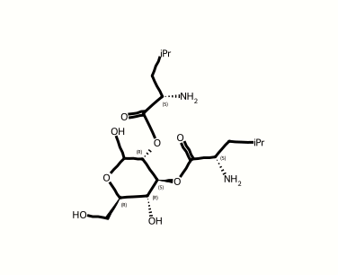 CC(C)C[C@H](N)C(=O)O[C@H]1[C@H](O)[C@@H](CO)OC(O)[C@@H]1OC(=O)[C@@H](N)CC(C)C